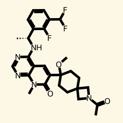 COC1(c2cc3c(N[C@H](C)c4cccc(C(F)F)c4F)ncnc3n(C)c2=O)CCC2(CC1)CN(C(C)=O)C2